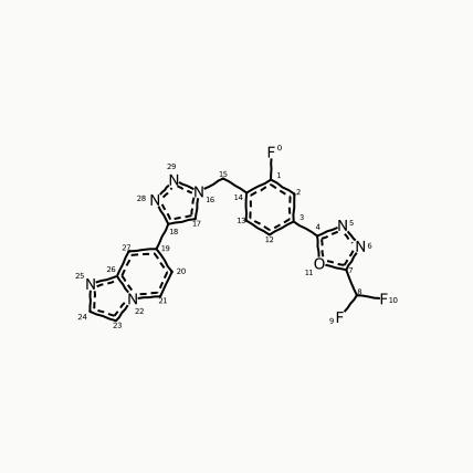 Fc1cc(-c2nnc(C(F)F)o2)ccc1Cn1cc(-c2ccn3ccnc3c2)nn1